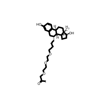 C[C@]12CC[C@@H]3c4ccc(O)cc4C[C@@H](CCCCOCCOCCOCC(=O)I)[C@H]3[C@@H]1CC[C@@H]2O